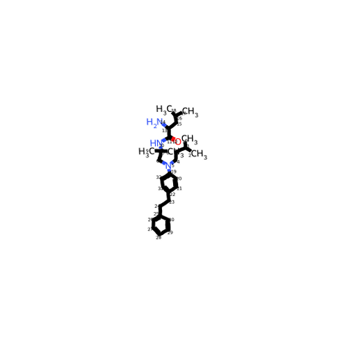 CC(C)CCN(CC(C)(C)NC(=O)C(N)CC(C)C)c1ccc(CCc2ccccc2)cc1